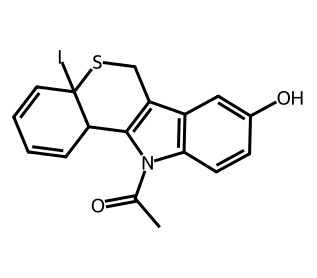 CC(=O)n1c2c(c3cc(O)ccc31)CSC1(I)C=CC=CC21